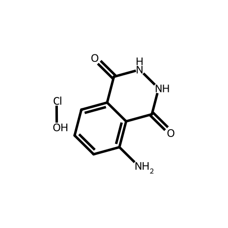 Nc1cccc2c(=O)[nH][nH]c(=O)c12.OCl